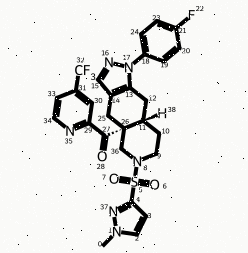 Cn1ccc(S(=O)(=O)N2CC[C@H]3Cc4c(cnn4-c4ccc(F)cc4)C[C@]3(C(=O)c3cc(C(F)(F)F)ccn3)C2)n1